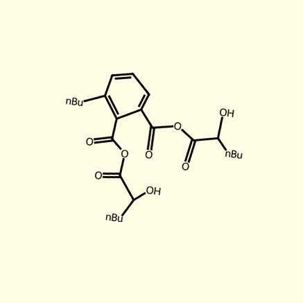 CCCCc1cccc(C(=O)OC(=O)C(O)CCCC)c1C(=O)OC(=O)C(O)CCCC